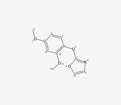 COc1ccc(Oc2n[c]co2)c(OC)c1